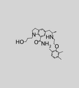 Cc1ccc(C)c(OCCN[C@H](C)Cc2cc3c(c(C(N)=O)c2)N(CCCO)CC3)c1C